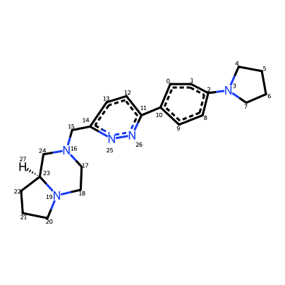 c1cc(N2CCCC2)ccc1-c1ccc(CN2CCN3CCC[C@H]3C2)nn1